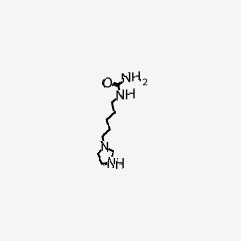 NC(=O)NCCCCCN1CCNC1